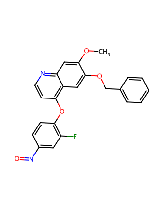 COc1cc2nccc(Oc3ccc(N=O)cc3F)c2cc1OCc1ccccc1